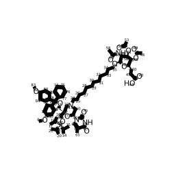 COc1ccc(C(OC[C@]2(CO[Si](C(C)C)(C(C)C)C(C)C)CN(CCCCCCCCCCCCO[C@@H]3O[C@H]([CH]CC(=O)O)[C@@H](OC(C)=O)[C@H](OC(C)=O)[C@H]3NC(C)=O)C[C@H](n3cc(C)c(=O)[nH]c3=O)O2)(c2ccccc2)c2ccc(OC)cc2)cc1